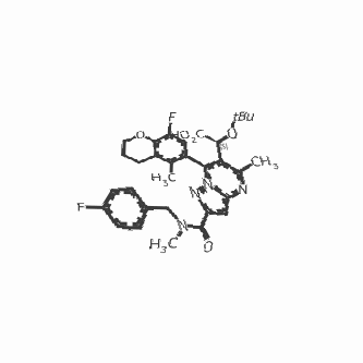 Cc1nc2cc(C(=O)N(C)Cc3ccc(F)cc3)nn2c(-c2cc(F)c3c(c2C)CCCO3)c1[C@H](OC(C)(C)C)C(=O)O